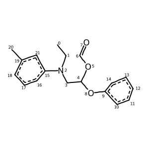 CCN(CC(OC=O)Oc1ccccc1)c1cccc(C)c1